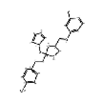 Cc1cccc(SCC2COC(CCc3ccc(Cl)cc3)(Cn3ccnc3)O2)c1